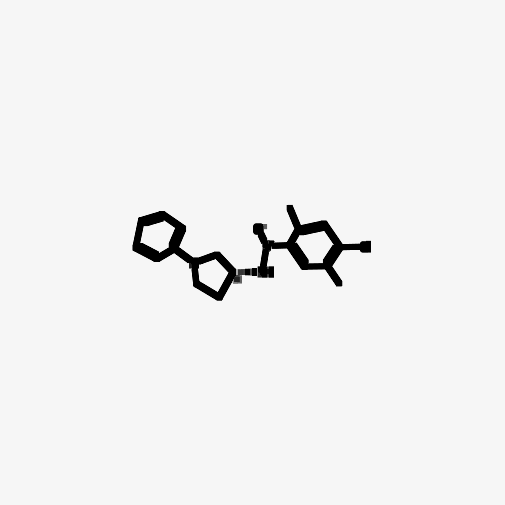 Cc1cc([S+]([O-])N[C@@H]2CCN(c3ccccc3)C2)c(C)cc1Cl